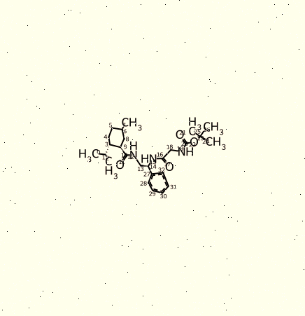 CC(C)[C@@H]1CC[C@@H](C)C[C@H]1C(=O)NC[C@@H](NC(=O)CNC(=O)OC(C)(C)C)c1ccccc1